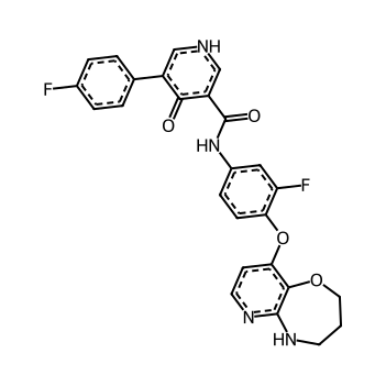 O=C(Nc1ccc(Oc2ccnc3c2OCCCN3)c(F)c1)c1c[nH]cc(-c2ccc(F)cc2)c1=O